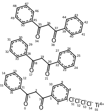 O=C(CC(=O)c1ccccc1)c1ccccc1.O=C(CC(=O)c1ccccc1)c1ccccc1.O=C(CC(=O)c1ccccc1)c1ccccc1.[Cl-].[Cl-].[Cl-].[Cl-].[Ti+4]